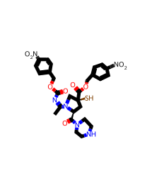 CC(=NC(=O)OCc1ccc([N+](=O)[O-])cc1)N1C[C@](S)(C(=O)OCc2ccc([N+](=O)[O-])cc2)C[C@H]1C(=O)N1CCNCC1